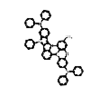 Cc1cc2c3c(c1)-n1c4c(cccc4c4c1c1ccc(N(c5ccccc5)c5ccccc5)cc1n4-c1ccccc1)B3c1ccc(N(c3ccccc3)c3ccccc3)cc1O2